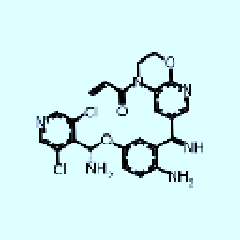 C=CC(=O)N1CCOc2ncc(C(=N)c3cc(O[C@H](N)c4c(Cl)cncc4Cl)ccc3N)cc21